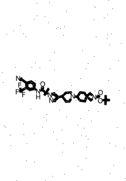 CC(C)(C)OC(=O)N1CC2(CCC(N3CCC(c4cnn(C(C)(C)C(=O)Nc5ccc(C#N)c(C(F)(F)F)c5)c4)CC3)CC2)C1